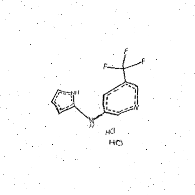 Cl.Cl.FC(F)(F)c1cncc(Nc2ccc[nH]2)c1